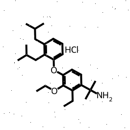 CCOc1c(Oc2cccc(CC(C)C)c2CC(C)C)ccc(C(C)(C)N)c1CC.Cl